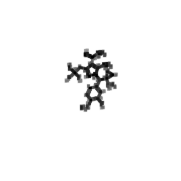 Cc1ccc(C(n2nc(CC(F)(F)F)c(C(N)=O)c2N)C2(C)CC2)cc1F